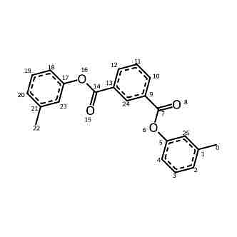 Cc1cccc(OC(=O)c2cccc(C(=O)Oc3cccc(C)c3)c2)c1